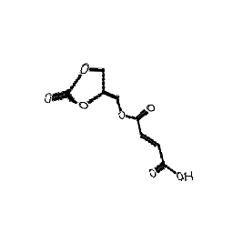 O=C(O)C=CC(=O)OCC1COC(=O)O1